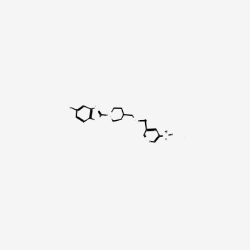 CS(=O)(=O)c1cncc(C(=O)NCC2CCN(c3nc4cc(Cl)ccc4o3)CC2)c1